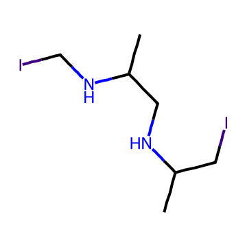 CC(CI)NCC(C)NCI